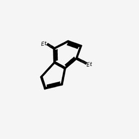 CCc1ccc(CC)c2c1C=CC2